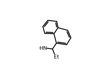 CCC([NH])c1cccc2ccccc12